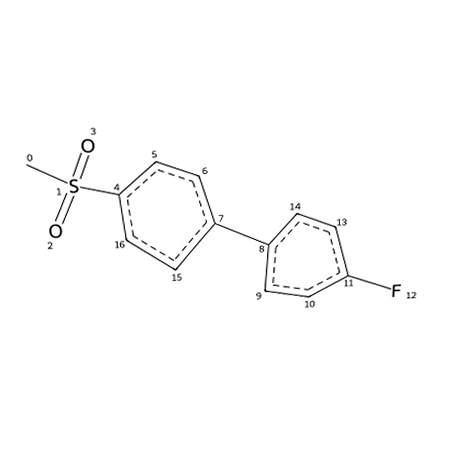 CS(=O)(=O)c1ccc(-c2ccc(F)cc2)cc1